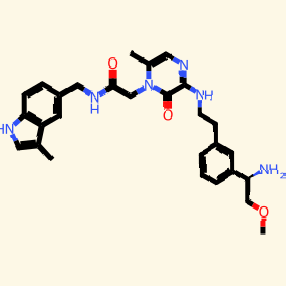 COC[C@H](N)c1cccc(CCNc2ncc(C)n(CC(=O)NCc3ccc4[nH]cc(C)c4c3)c2=O)c1